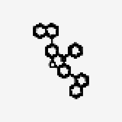 c1ccc(N2c3cc(-c4cccc5ccccc45)ccc3Oc3ccc(-c4cccc5ccccc45)cc32)cc1